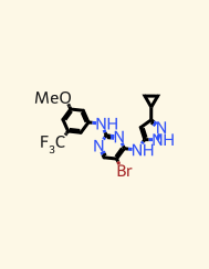 COc1cc(Nc2ncc(Br)c(Nc3cc(C4CC4)n[nH]3)n2)cc(C(F)(F)F)c1